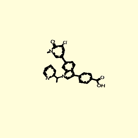 CC(c1ccccn1)n1cc(-c2ccc(C(=O)O)cc2)c2ccc(-c3cc(Cl)c(=O)n(C)c3)cc21